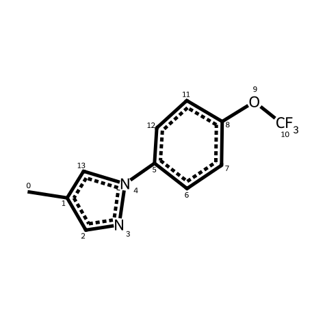 Cc1cnn(-c2ccc(OC(F)(F)F)cc2)c1